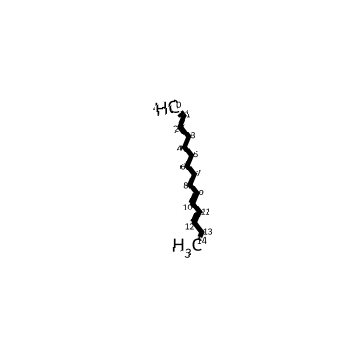 [CH]=CCCCCCCCC=CC=CCC